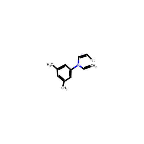 C=CN(/C=C\CC)c1cc(C)cc(C)c1